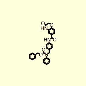 O=C1COc2ccc(C(=O)Nc3ccc(CN(C(=O)OCc4ccccc4)c4ccccc4)cc3)cc2N1